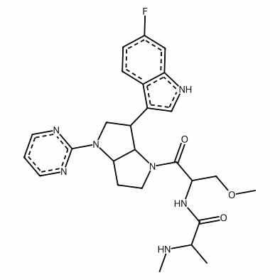 CNC(C)C(=O)NC(COC)C(=O)N1CCC2C1C(c1c[nH]c3cc(F)ccc13)CN2c1ncccn1